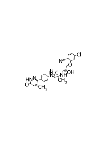 C[C@@H]1CC(=O)NN=C1c1ccc(NCC(C)(C)NC[C@H](O)COc2cc(Cl)ccc2C#N)cc1